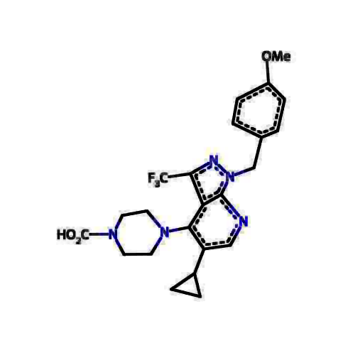 COc1ccc(Cn2nc(C(F)(F)F)c3c(N4CCN(C(=O)O)CC4)c(C4CC4)cnc32)cc1